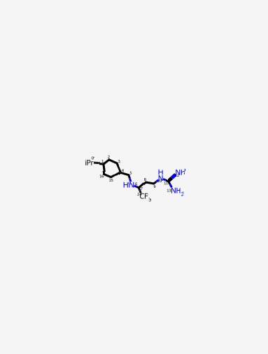 CC(C)C1CCC(CNC(CCNC(=N)N)C(F)(F)F)CC1